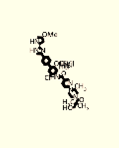 CO[C@@H]1CN[C@H](c2nc(-c3ccc(-c4cc(Cl)c(NC(=O)c5ccc(N6CCN(C(=O)C(C)(C)CO)C[C@H]6C)nc5)cc4OC(F)(F)F)cc3)c[nH]2)C1.Cl.Cl.Cl